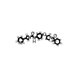 CC1(C(=O)N2CC[C@@H](Oc3ccc(NC(=O)N4CC(c5cccnc5)C4)cc3)C2)CCCCC1